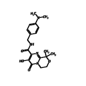 CN(C)c1ccc(CNC(=O)c2nc3n(c(=O)c2O)CCOC3(C)C)cc1